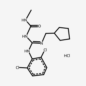 CNC(=O)NC(=NCC1CCCC1)Nc1c(Cl)cccc1Cl.Cl